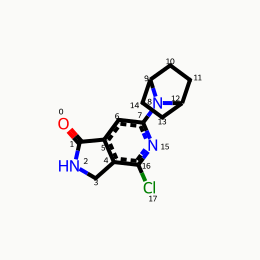 O=C1NCc2c1cc(N1C3CCC1CC3)nc2Cl